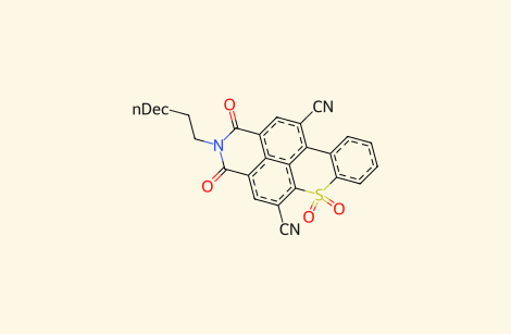 CCCCCCCCCCCCN1C(=O)c2cc(C#N)c3c4c(c(C#N)cc(c24)C1=O)S(=O)(=O)c1ccccc1-3